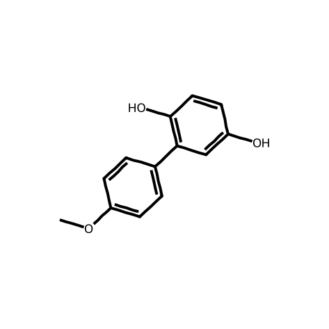 COc1ccc(-c2cc(O)ccc2O)cc1